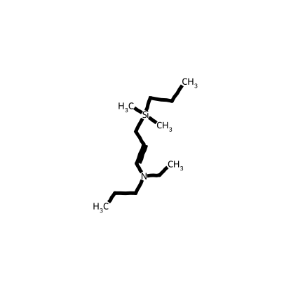 CCCN(C=CC[Si](C)(C)CCC)CC